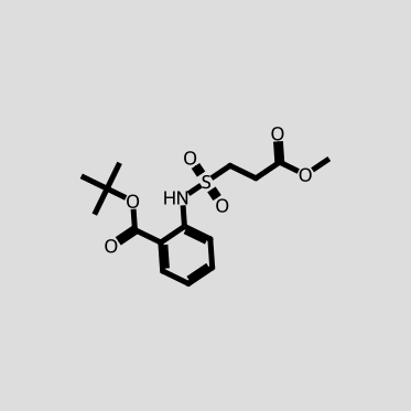 COC(=O)CCS(=O)(=O)Nc1ccccc1C(=O)OC(C)(C)C